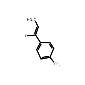 O=C(O)C=C(F)c1ccc(C(F)(F)F)cc1